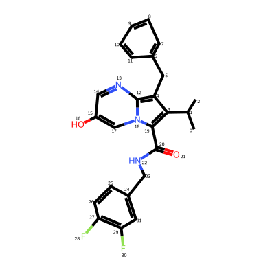 CC(C)c1c(Cc2ccccc2)c2ncc(O)cn2c1C(=O)NCc1ccc(F)c(F)c1